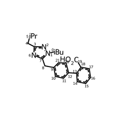 CCC(C)n1nc(CC(C)C)nc1Cc1ccc(-c2ccccc2C(=O)O)cc1